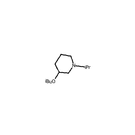 CC(C)COC1CCCN(C(C)C)C1